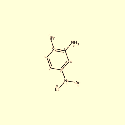 CCN(C(C)=O)c1ccc(C(C)C)c(N)c1